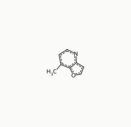 Cc1ccnc2ccoc12